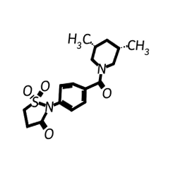 C[C@@H]1C[C@H](C)CN(C(=O)c2ccc(N3C(=O)CCS3(=O)=O)cc2)C1